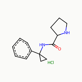 Cl.O=C(NC1(c2ccccc2)CC1)C1CCCN1